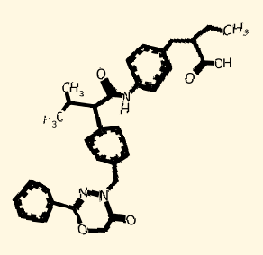 CCC(Cc1ccc(NC(=O)C(c2ccc(CN3N=C(c4ccccc4)OCC3=O)cc2)C(C)C)cc1)C(=O)O